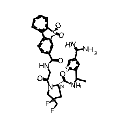 CC(NC(=O)[C@@H]1C[C@](F)(CF)CN1C(=O)CNC(=O)c1ccc2c(c1)S(=O)(=O)c1ccccc1-2)c1cc(C(=N)N)cs1